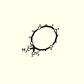 CC1(C)CCOCCOCCOCCO1